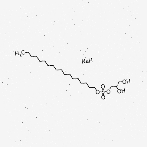 CCCCCCCCCCCCCCCCCCOS(=O)(=O)OCC(O)CO.[NaH]